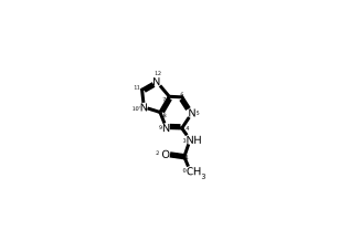 CC(=O)Nc1ncc2c(n1)[N]C=N2